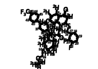 [2H]c1c(C)c([2H])c2c(c1[2H])c(=O)c([2H])c(SCc1cccc(F)c1F)n2C([2H])([2H])C(=O)N(C([2H])([2H])c1ccc(-c2ccc(C(F)(F)F)cc2)cc1)C1([2H])C([2H])([2H])C([2H])([2H])N(CCOC([2H])([2H])[2H])C([2H])([2H])C1([2H])[2H]